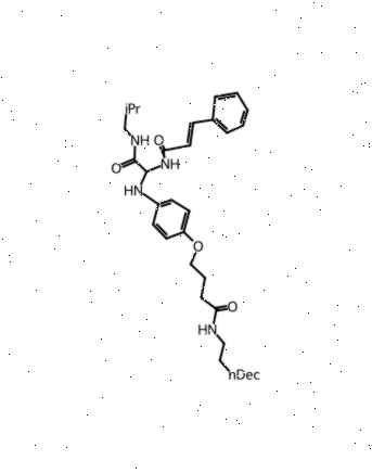 CCCCCCCCCCCCNC(=O)CCCOc1ccc(NC(NC(=O)C=Cc2ccccc2)C(=O)NCC(C)C)cc1